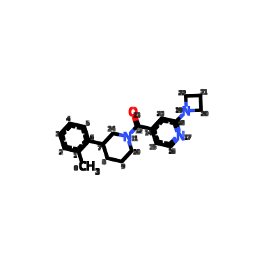 Cc1ccccc1C1CCCN(C(=O)c2ccnc(N3CCC3)c2)C1